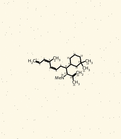 C=C/C=C(C)\C=C/CC(C1CCCC(C)(C)C1)[C@H](NC)C(=C)C